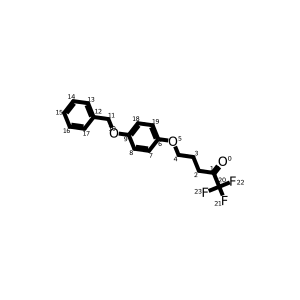 O=C(CCCOc1ccc(OCc2ccccc2)cc1)C(F)(F)F